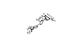 CCc1cc2ncc(CN3CCN(c4ccc(C(N)=O)c(F)c4N)C[C@@H]3CO)cc2[nH]c1=O